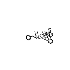 OC(CNCCc1ccccc1)COc1ccccc1-c1ccc(=S)[nH]n1